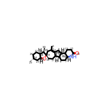 CC1=C2C[C@H]3[C@@H](CC[C@H]4NC(=O)CC[C@@]43C)[C@@H]2CC[C@@]2(C1)O[C@@H]1C[C@H](C)CC[C@H]1[C@H]2C